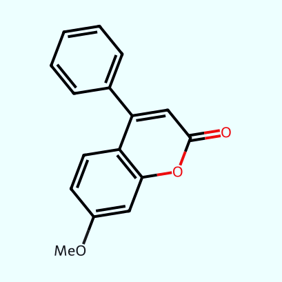 COc1ccc2c(-c3ccccc3)cc(=O)oc2c1